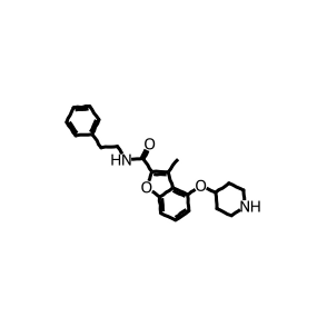 Cc1c(C(=O)NCCc2ccccc2)oc2cccc(OC3CCNCC3)c12